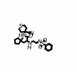 CC1(CC(NCC=NS(=O)(=O)c2ccccc2)C(=O)NC2(C#N)CCSCC2)CCCC1